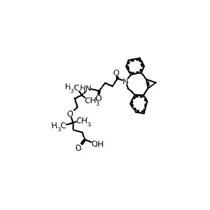 CC(C)(CCOC(C)(C)CCC(=O)O)NC(=O)CCC(=O)N1Cc2ccccc2C2=C(C2)c2ccccc21